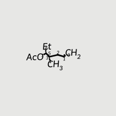 C=CC[C@@H](C)[C@H](CC)OC(C)=O